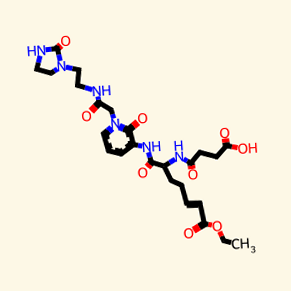 CCOC(=O)C=CCCC(NC(=O)CCC(=O)O)C(=O)Nc1cccn(CC(=O)NCCN2CCNC2=O)c1=O